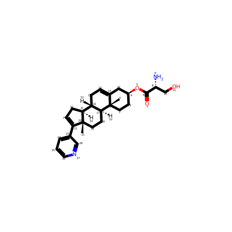 C[C@]12CC[C@H](OC(=O)[C@H](N)CO)CC1=CC[C@@H]1[C@@H]2CC[C@]2(C)C(c3cccnc3)=CC[C@@H]12